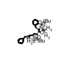 CC(C)(C)OC(=O)N1[C@H](Cc2ccccc2)[C@@H](C(CCCOCc2ccccc2)O[Si](C)(C)C(C)(C)C)OC1(C)C